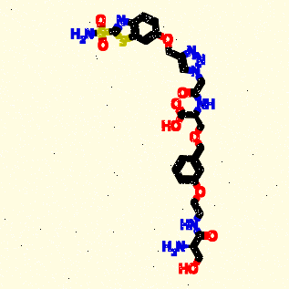 N[C@@H](CO)C(=O)NCCOc1cccc(COC[C@H](NC(=O)Cn2cc(COc3ccc4nc(S(N)(=O)=O)sc4c3)nn2)C(=O)O)c1